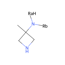 CC1([N]([Rb])[RaH])CNC1